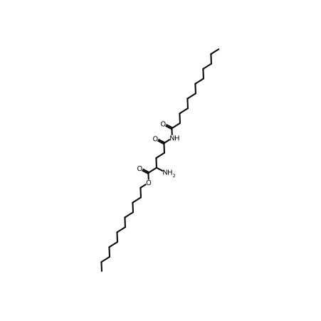 CCCCCCCCCCCCOC(=O)C(N)CCC(=O)NC(=O)CCCCCCCCCCC